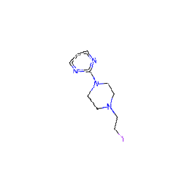 ICCN1CCN(c2ncccn2)CC1